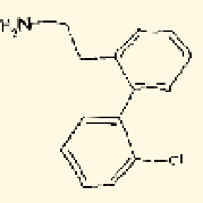 NCCc1ccccc1-c1ccccc1Cl